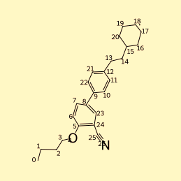 CCCCOc1ccc(-c2ccc(CCC3CC[CH]CC3)cc2)cc1C#N